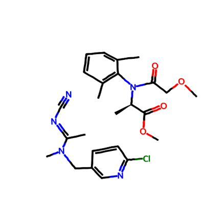 C/C(=N\C#N)N(C)Cc1ccc(Cl)nc1.COCC(=O)N(c1c(C)cccc1C)[C@H](C)C(=O)OC